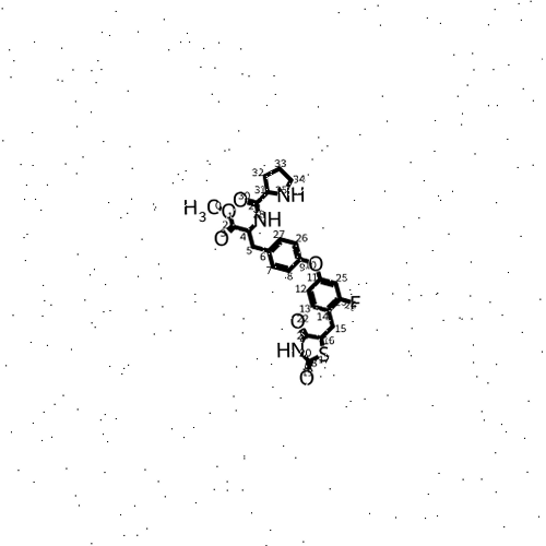 COC(=O)C(Cc1ccc(Oc2ccc(CC3SC(=O)NC3=O)c(F)c2)cc1)NC(=O)C1CCCN1